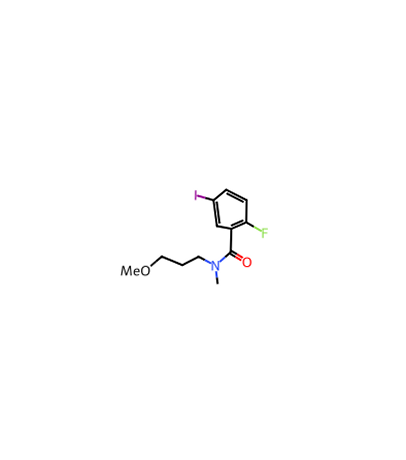 COCCCN(C)C(=O)c1cc(I)ccc1F